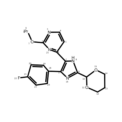 CC(C)Oc1nccc(-c2[nH]c(C3OCCCO3)nc2-c2ccc(F)cc2)n1